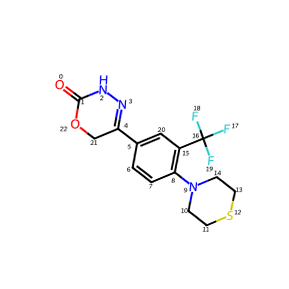 O=C1NN=C(c2ccc(N3CCSCC3)c(C(F)(F)F)c2)CO1